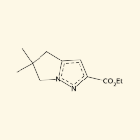 CCOC(=O)c1cc2n(n1)CC(C)(C)C2